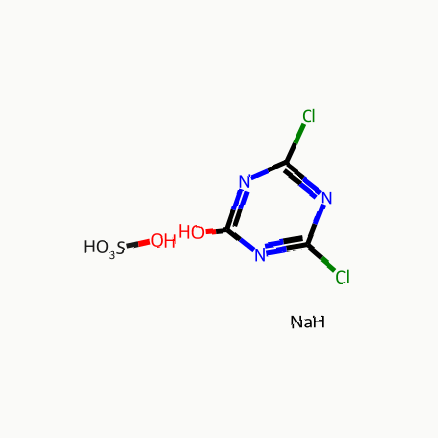 O=S(=O)(O)O.Oc1nc(Cl)nc(Cl)n1.[NaH]